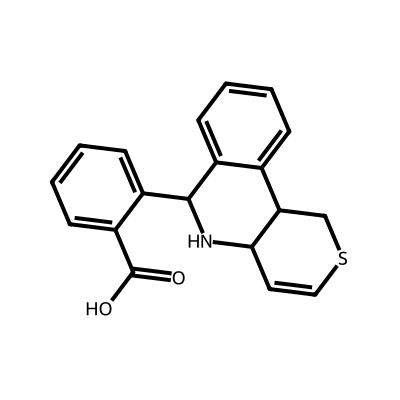 O=C(O)c1ccccc1C1NC2C=CSCC2c2ccccc21